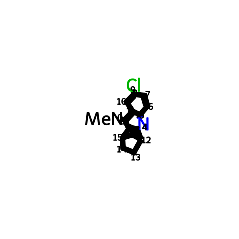 CNc1c2c(nc3ccc(Cl)cc13)C1CCC2C1